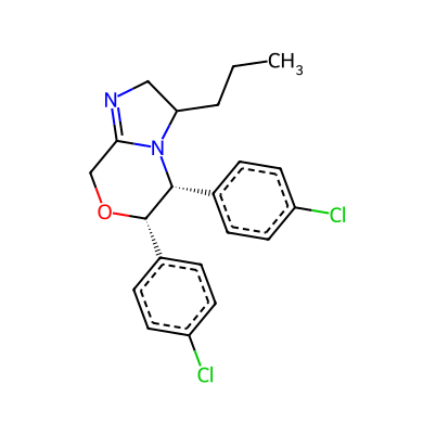 CCCC1CN=C2CO[C@@H](c3ccc(Cl)cc3)[C@@H](c3ccc(Cl)cc3)N21